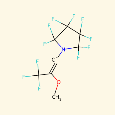 CO/[C](=[Cf]/[N]1C(F)(F)C(F)(F)C(F)(F)C1(F)F)C(F)(F)F